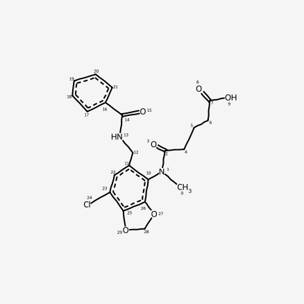 CN(C(=O)CCCC(=O)O)c1c(CNC(=O)c2ccccc2)cc(Cl)c2c1OCO2